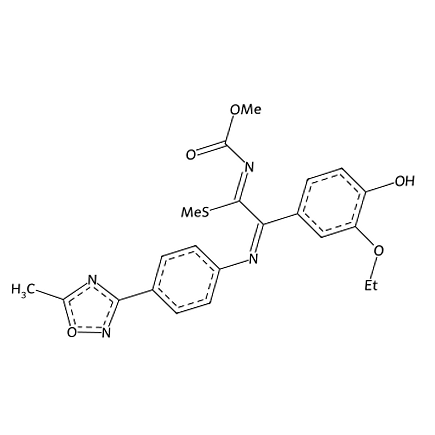 CCOc1cc(C(=Nc2ccc(-c3noc(C)n3)cc2)C(=NC(=O)OC)SC)ccc1O